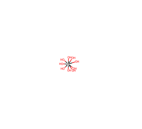 [OH][Zn]([OH])([OH])([OH])([OH])([OH])([OH])([OH])[OH]